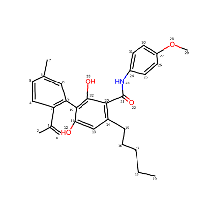 C=C(C)c1ccc(C)cc1-c1c(O)cc(CCCCC)c(C(=O)Nc2ccc(OC)cc2)c1O